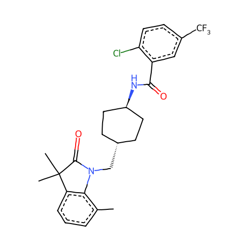 Cc1cccc2c1N(C[C@H]1CC[C@H](NC(=O)c3cc(C(F)(F)F)ccc3Cl)CC1)C(=O)C2(C)C